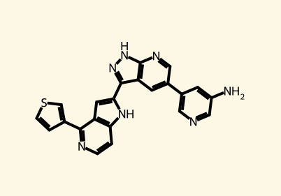 Nc1cncc(-c2cnc3[nH]nc(-c4cc5c(-c6ccsc6)nccc5[nH]4)c3c2)c1